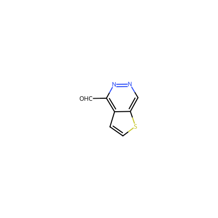 O=Cc1nncc2sccc12